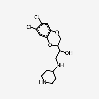 OC(CNC1CCNCC1)C1COc2cc(Cl)c(Cl)cc2O1